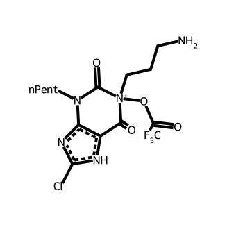 CCCCCN1C(=O)[N+](CCCN)(OC(=O)C(F)(F)F)C(=O)c2[nH]c(Cl)nc21